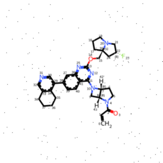 C=CC(=O)N1CC[C@@H]2[C@H]1CN2c1nc(OC[C@@]23CCCN2C[C@H](F)C3)nc2cc(-c3cncc4c3CCCC4)ccc12